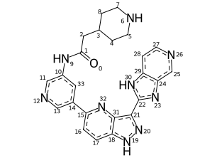 O=C(CC1CCNCC1)Nc1cncc(-c2ccc3[nH]nc(-c4nc5cnccc5[nH]4)c3n2)c1